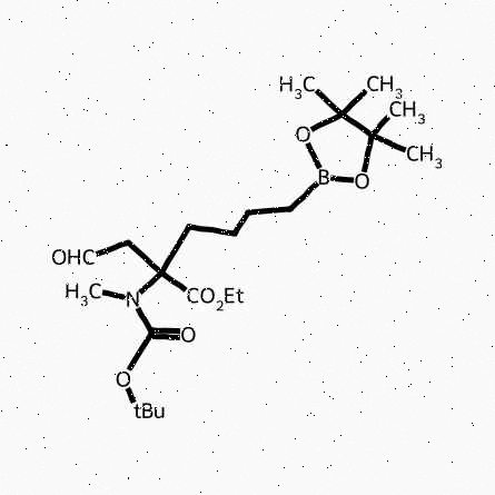 CCOC(=O)C(CC=O)(CCCCB1OC(C)(C)C(C)(C)O1)N(C)C(=O)OC(C)(C)C